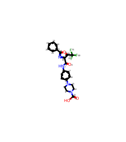 O=C(Nc1ccc(N2CCN(C(=O)O)CC2)cc1)c1nc(-c2ccccc2)oc1C(F)(F)F